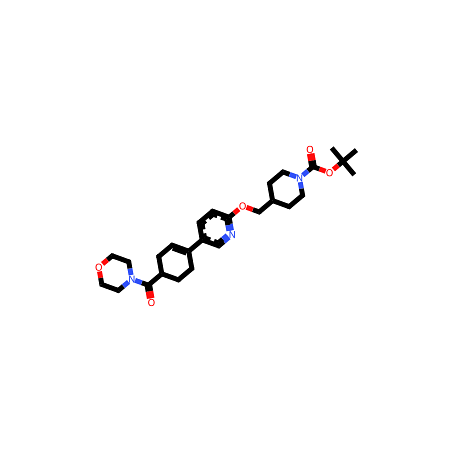 CC(C)(C)OC(=O)N1CCC(COc2ccc(C3=CCC(C(=O)N4CCOCC4)CC3)cn2)CC1